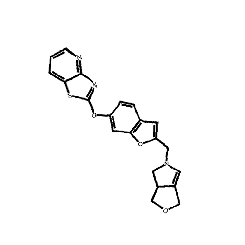 C1=C2COCC2CN1Cc1cc2ccc(Oc3nc4ncccc4s3)cc2o1